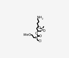 COCCN(CCl)C(=O)OC(CCCCCN)CS(C)(=O)=O